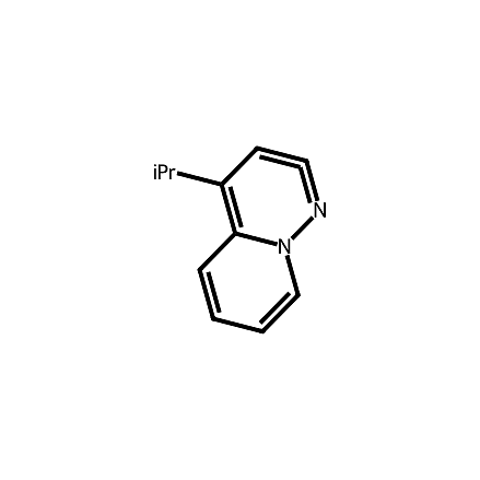 CC(C)C1=C2C=CC=CN2N=C=C1